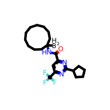 BC1(NC(=O)c2cc(C(F)(F)F)nc(C3CCCC3)n2)CCCCCCCCCC1